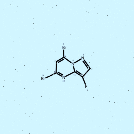 Fc1cnn2c(Br)cc(Br)nc12